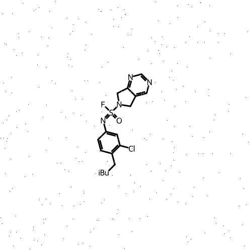 CCC(C)Cc1ccc(N=S(=O)(F)N2Cc3cncnc3C2)cc1Cl